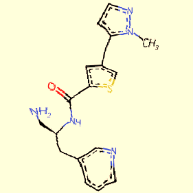 Cn1nccc1-c1csc(C(=O)N[C@H](CN)Cc2cccnc2)c1